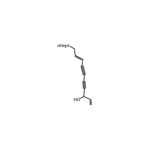 C=CC(O)C#CC#CC=CCCCCCCCC